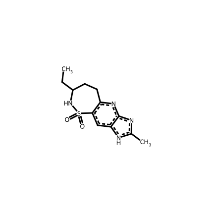 CCC1CCc2nc3nc(C)[nH]c3cc2S(=O)(=O)N1